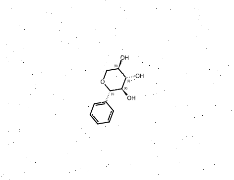 O[C@@H]1[C@@H](O)[C@H](c2cc[c]cc2)OC[C@H]1O